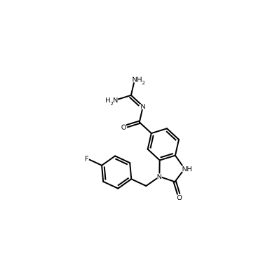 NC(N)=NC(=O)c1ccc2[nH]c(=O)n(Cc3ccc(F)cc3)c2c1